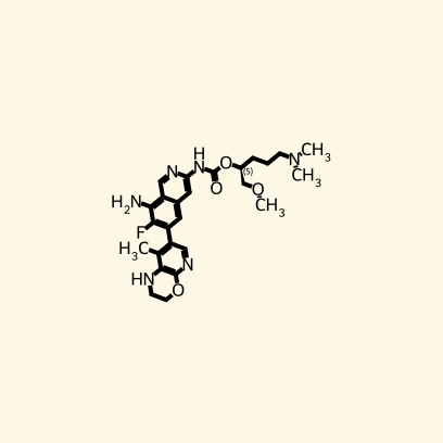 COC[C@H](CCCN(C)C)OC(=O)Nc1cc2cc(-c3cnc4c(c3C)NCCO4)c(F)c(N)c2cn1